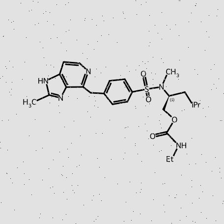 CCNC(=O)OC[C@H](CC(C)C)N(C)S(=O)(=O)c1ccc(Cc2nccc3[nH]c(C)nc23)cc1